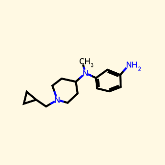 CN(c1cccc(N)c1)C1CCN(CC2CC2)CC1